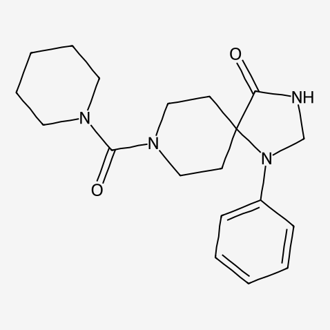 O=C(N1CCCCC1)N1CCC2(CC1)C(=O)NCN2c1ccccc1